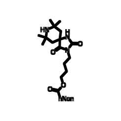 CCCCCCCCCC(=O)OCCCCN1C(=O)NC2(CC(C)(C)NC(C)(C)C2)C1=O